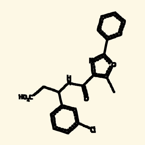 Cc1oc(-c2ccccc2)nc1C(=O)NC(CC(=O)O)c1cccc(Cl)c1